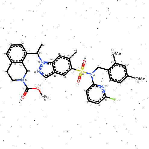 COc1ccc(CN(c2cccc(F)n2)S(=O)(=O)c2cc3cnn(C(C)c4cccc5c4CN(C(=O)OC(C)(C)C)CC5)c3cc2C)c(OC)c1